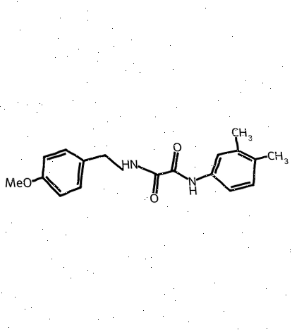 COc1ccc(CCNC(=O)C(=O)Nc2ccc(C)c(C)c2)cc1